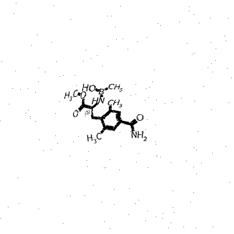 COC(=O)[C@H](Cc1c(C)cc(C(N)=O)cc1C)NB(C)O